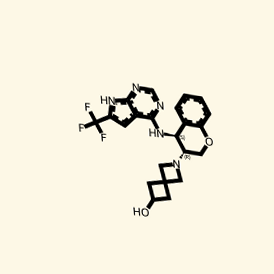 OC1CC2(C1)CN([C@H]1COc3ccccc3[C@@H]1Nc1ncnc3[nH]c(C(F)(F)F)cc13)C2